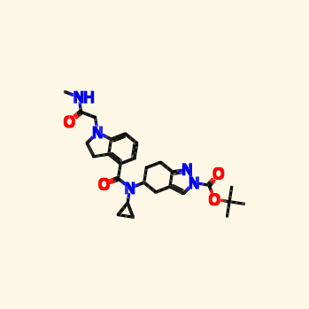 CNC(=O)CN1CCc2c(C(=O)N(C3CC3)C3CCc4nn(C(=O)OC(C)(C)C)cc4C3)cccc21